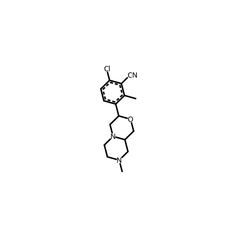 Cc1c(C2CN3CCN(C)CC3CO2)ccc(Cl)c1C#N